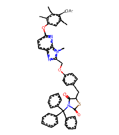 CC(=O)Oc1c(C)cc(Oc2ccc3nc(COc4ccc(CC5SC(=O)N(C(c6ccccc6)(c6ccccc6)c6ccccc6)C5=O)cc4)n(C)c3n2)c(C)c1C